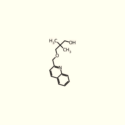 CC(C)(CO)COCc1ccc2ccccc2n1